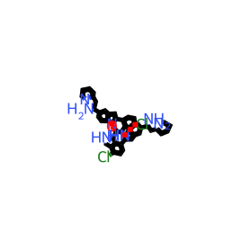 NC(Cc1ccccn1)c1ccc2[nH]c(-c3ccc(Cl)c4c3C(C(=O)C3NCc5c(Cl)ccc(-c6cc7cc(C(N)Cc8ccccn8)ccc7[nH]6)c53)NC4)cc2c1